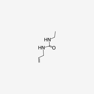 C=CCNC(=O)NCC